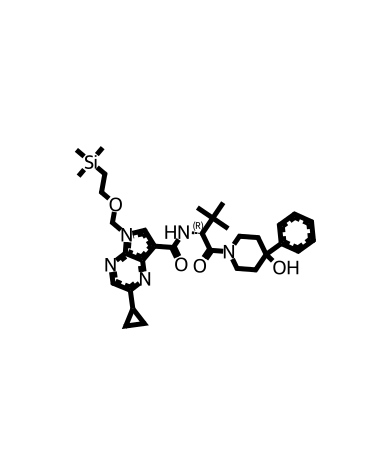 CC(C)(C)[C@@H](NC(=O)c1cn(COCC[Si](C)(C)C)c2ncc(C3CC3)nc12)C(=O)N1CCC(O)(c2ccccc2)CC1